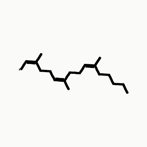 [CH]C=C(C)CCC=C(C)CCC=C(C)CCCCC